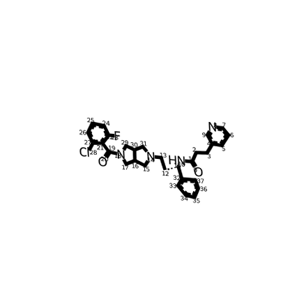 O=C(CCc1cccnc1)N[C@@H](CCN1CC2CN(C(=O)c3c(F)cccc3Cl)CC2C1)c1ccccc1